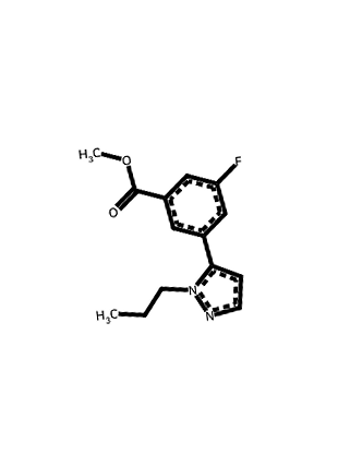 CCCn1nccc1-c1cc(F)cc(C(=O)OC)c1